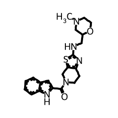 CN1CCOC(CNc2nc3c(s2)CN(C(=O)c2cc4ccccc4[nH]2)CC3)C1